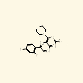 Nc1nc(N2CCOCC2)c2nc(-c3ccc(F)cc3Cl)cnc2n1